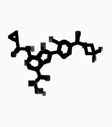 CNC(=O)c1cnc(NC(=O)C2CC2)c2[nH]c(-c3ccc(C(=O)N4CC(F)(F)C4)cc3F)cc12